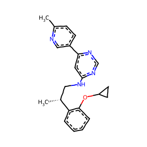 Cc1ccc(-c2cc(NC[C@@H](C)c3ccccc3OC3CC3)ncn2)cn1